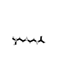 CC(C)OCCOCCN(C)C